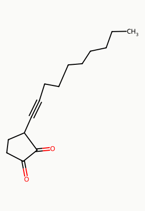 CCCCCCCCC#CC1CCC(=O)C1=O